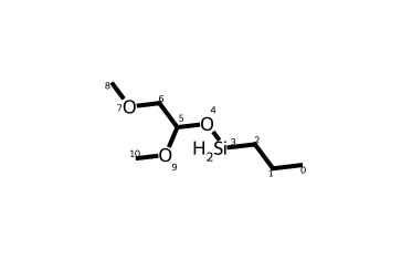 CCC[SiH2]OC(COC)OC